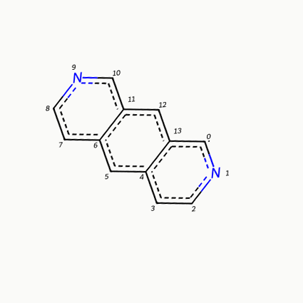 [c]1nccc2cc3ccncc3cc12